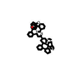 c1ccc(-c2ccccc2-c2cc(-c3ccc4c(c3)-c3ccccc3-c3ccccc3C43c4ccccc4-c4ccccc43)nc(-c3cccc4oc5ccccc5c34)n2)cc1